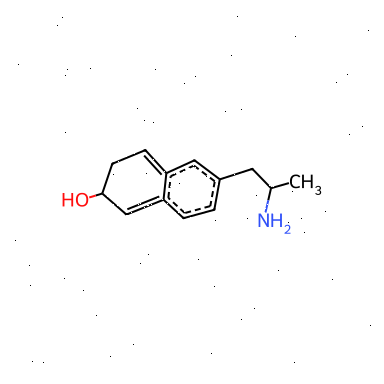 CC(N)Cc1ccc2c(c1)=CCC(O)C=2